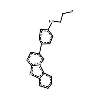 FCCNc1ccc(-c2cnc3nc4ccccc4n3c2)cc1